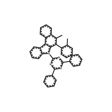 Cc1ccccc1-c1c(C)c2ccccc2c2c3ccccc3n(-c3nc(-c4ccccc4)nc(-c4ccccc4)n3)c12